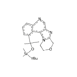 CC(C)(O[Si](C)(C)C(C)(C)C)c1cccc2ncc3nc4n(c3c12)CCOC4